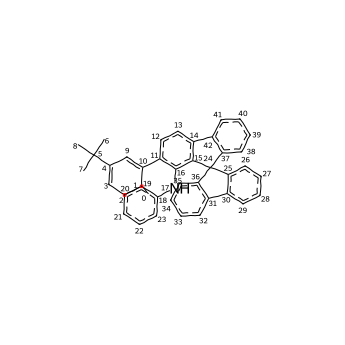 CC1CC=C(C(C)(C)C)C=C1c1ccc2c(c1Nc1ccccc1)C1(c3ccccc3-c3ccccc31)c1ccccc1-2